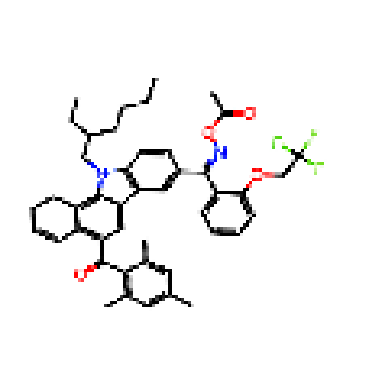 CCCCC(CC)Cn1c2ccc(/C(=N\OC(C)=O)c3ccccc3OCC(F)(F)F)cc2c2cc(C(=O)c3c(C)cc(C)cc3C)c3c(c21)CCC=C3